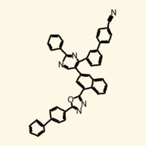 N#Cc1ccc(-c2cccc(-c3nc(-c4ccccc4)ncc3-c3cc(-c4nnc(-c5ccc(-c6ccccc6)cc5)o4)c4ccccc4c3)c2)cc1